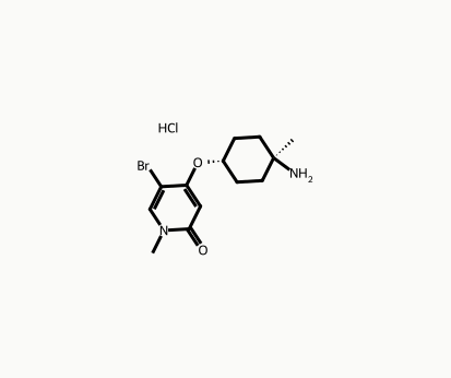 Cl.Cn1cc(Br)c(O[C@H]2CC[C@](C)(N)CC2)cc1=O